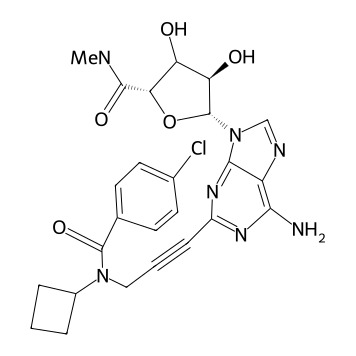 CNC(=O)[C@H]1O[C@@H](n2cnc3c(N)nc(C#CCN(C(=O)c4ccc(Cl)cc4)C4CCC4)nc32)[C@H](O)C1O